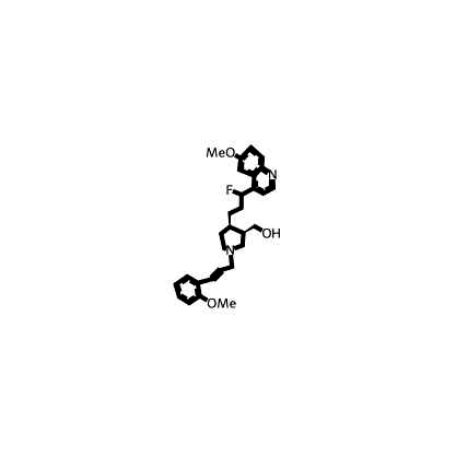 COc1ccc2nccc(C(F)CC[C@@H]3CCN(CC#Cc4ccccc4OC)C[C@@H]3CO)c2c1